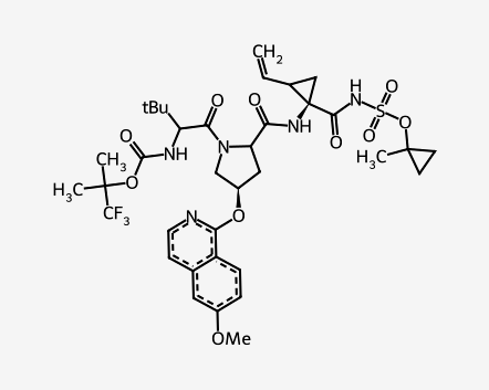 C=CC1C[C@]1(NC(=O)C1C[C@@H](Oc2nccc3cc(OC)ccc23)CN1C(=O)C(NC(=O)OC(C)(C)C(F)(F)F)C(C)(C)C)C(=O)NS(=O)(=O)OC1(C)CC1